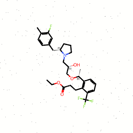 CCOC(=O)CCc1c([C@@H](C)OC[C@@H](O)CN2CCC[C@H]2Cc2ccc(C)c(F)c2)cccc1C(F)(F)F